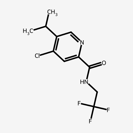 CC(C)c1cnc(C(=O)NCC(F)(F)F)cc1Cl